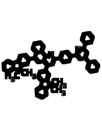 CC1(C)c2ccccc2-c2ccc(-c3cc4c(-c5ccc6c(c5)C(C)(C)c5ccccc5-6)cc(-c5ccc(-c6cc(-c7ccccc7)cc(-c7ccccc7)n6)cc5)nc4c4ccccc34)cc21